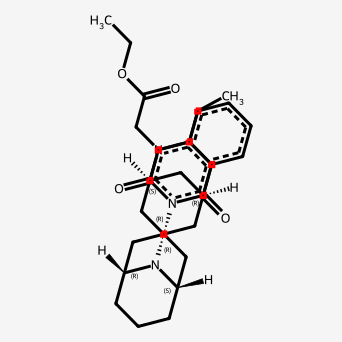 CCOC(=O)Cn1c(=O)n([C@H]2C[C@H]3CCC[C@@H](C2)N3[C@H]2C[C@@H]3CC(CC)C[C@@H](C3)C2)c(=O)c2ccccc21